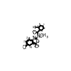 CN(C(=O)c1ccccc1I)c1nc2ccc(Cl)cc2c(=O)o1